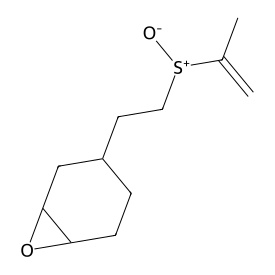 C=C(C)[S+]([O-])CCC1CCC2OC2C1